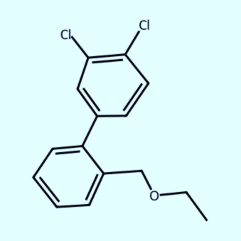 CCOCc1ccccc1-c1ccc(Cl)c(Cl)c1